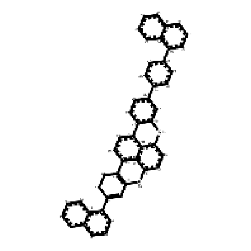 C1=C(c2cccc3ccccc23)CCC2=C1Sc1ccc3c4c(ccc2c14)-c1ccc(-c2ccc(-c4cccc5ccccc45)cc2)cc1S3